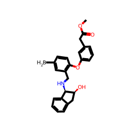 Bc1ccc(Oc2cccc(CC(=O)OC)c2)c(CN[C@@H]2c3ccccc3C[C@@H]2O)c1